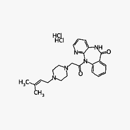 CC(C)=CCN1CCN(CC(=O)N2c3ccccc3C(=O)Nc3cccnc32)CC1.Cl.Cl